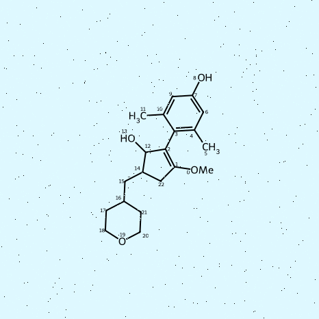 COC1=C(c2c(C)cc(O)cc2C)C(O)C(CC2CCOCC2)C1